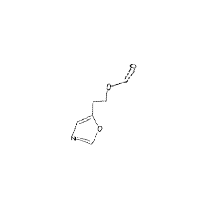 O=COCCc1cnco1